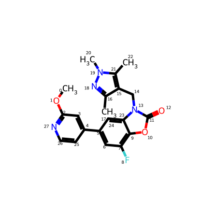 COc1cc(-c2cc(F)c3oc(=O)n(Cc4c(C)nn(C)c4C)c3c2)ccn1